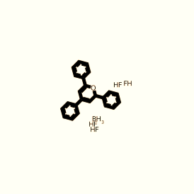 B.C1=C(c2ccccc2)C=C(c2ccccc2)OC1c1ccccc1.F.F.F.F